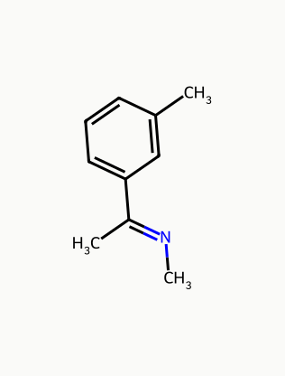 CN=C(C)c1cccc(C)c1